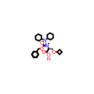 C1CCC(NC2CCCCC2)CC1.CN(C(=O)OCc1ccccc1)[C@@H](COC1CCC1)C(=O)O